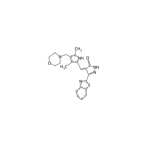 Cc1[nH]c(C=C2C(=O)NN=C2c2nc3ccccc3s2)c(C)c1CN1CCOCC1